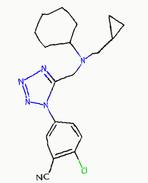 N#Cc1cc(-n2nnnc2CN(CC2CC2)C2CCCCC2)ccc1Cl